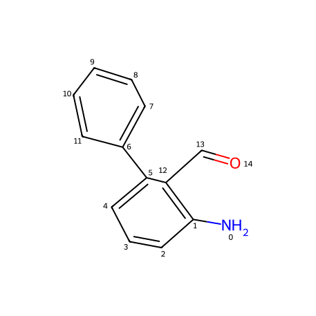 Nc1cccc(-c2ccccc2)c1C=O